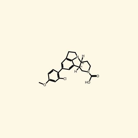 COc1ccc(-c2cc3c4c(c2)[C@H]2CN(C(=O)O)CC[C@H]2N4CC3)c(Cl)c1